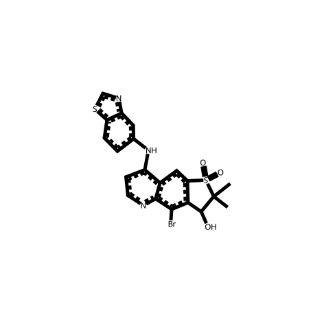 CC1(C)C(O)c2c(cc3c(Nc4ccc5scnc5c4)ccnc3c2Br)S1(=O)=O